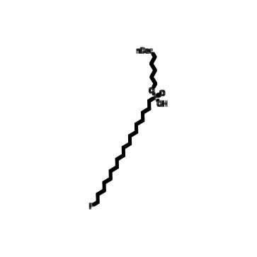 CCCCCCCCCCCCCCCOP(=O)(O)CCCCCCCCCCCCCCCCCCF